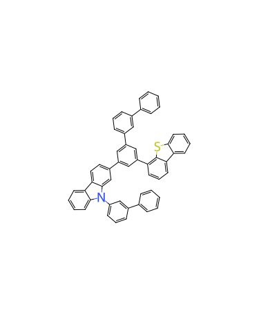 c1ccc(-c2cccc(-c3cc(-c4ccc5c6ccccc6n(-c6cccc(-c7ccccc7)c6)c5c4)cc(-c4cccc5c4sc4ccccc45)c3)c2)cc1